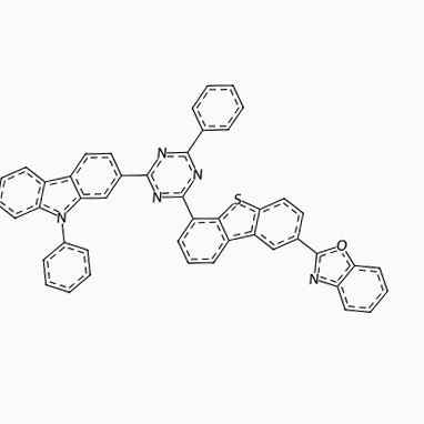 c1ccc(-c2nc(-c3ccc4c5ccccc5n(-c5ccccc5)c4c3)nc(-c3cccc4c3sc3ccc(-c5nc6ccccc6o5)cc34)n2)cc1